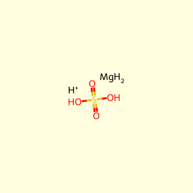 O=S(=O)(O)O.[H+].[MgH2]